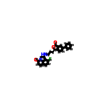 O=C1O[C@H](CCCN[C@@H]2Cn3c(=O)ccc4ccc(F)c2c43)c2ccc(-c3ccccc3)cc21